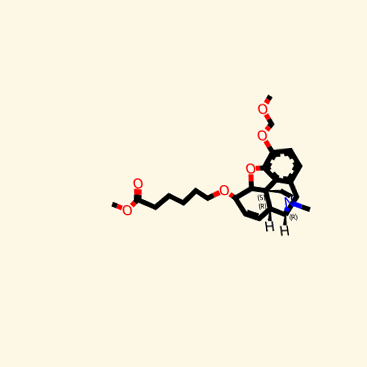 COCOc1ccc2c3c1OC1C(OCCCCCC(=O)OC)C=C[C@H]4[C@@H](C2)N(C)CC[C@]314